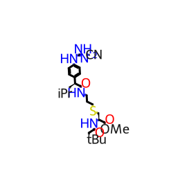 COC(=O)[C@H](CSCCCNC(=O)[C@@H](CC(C)C)c1ccc(NC(N)=NC#N)cc1)NC(=O)CC(C)(C)C